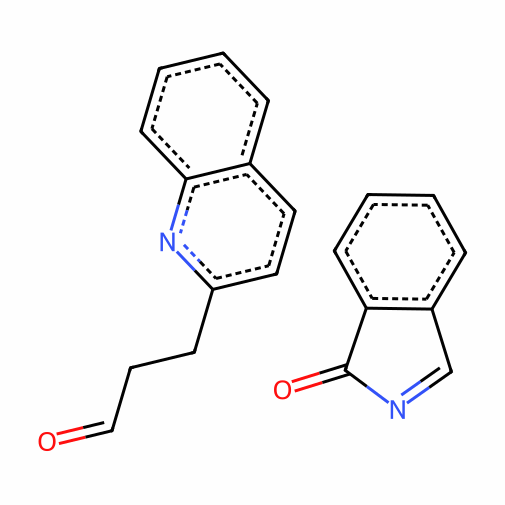 O=C1N=Cc2ccccc21.O=CCCc1ccc2ccccc2n1